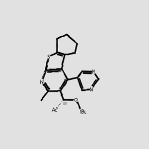 CC(=O)[C@@H](OC(C)(C)C)c1c(C)nc2sc3c(c2c1-c1cncnc1)CCCC3